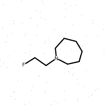 FCCN1CCCCCC1